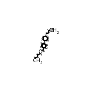 C=CCCCOCc1ccc([C@H]2CC[C@H](CCC=C)CC2)cc1